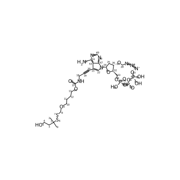 CC(C)(CCO)SSCOCCCCOC(=O)NCC#Cc1cn([C@H]2C[C@H](OCN=[N+]=[N-])[C@@H](COP(=O)(O)O[PH](=O)OP(=O)(O)O)O2)c2ncnc(N)c12